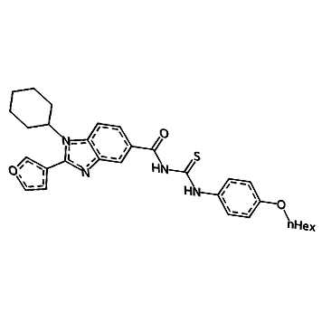 CCCCCCOc1ccc(NC(=S)NC(=O)c2ccc3c(c2)nc(-c2ccoc2)n3C2CCCCC2)cc1